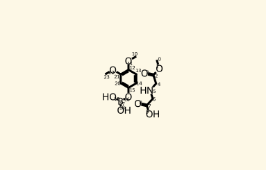 COC(=O)CNCC(=O)O.COc1ccc(OB(O)O)cc1OC